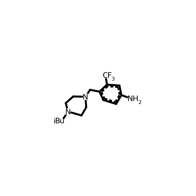 CCC(C)N1CCN(Cc2ccc(N)cc2C(F)(F)F)CC1